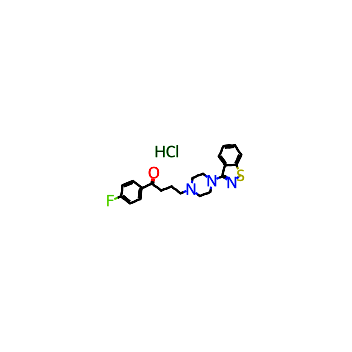 Cl.O=C(CCCN1CCN(c2nsc3ccccc23)CC1)c1ccc(F)cc1